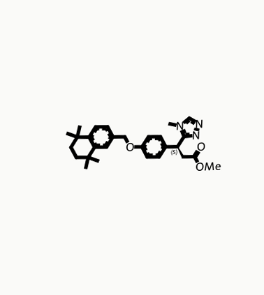 COC(=O)C[C@@H](c1ccc(OCc2ccc3c(c2)C(C)(C)CCC3(C)C)cc1)c1nncn1C